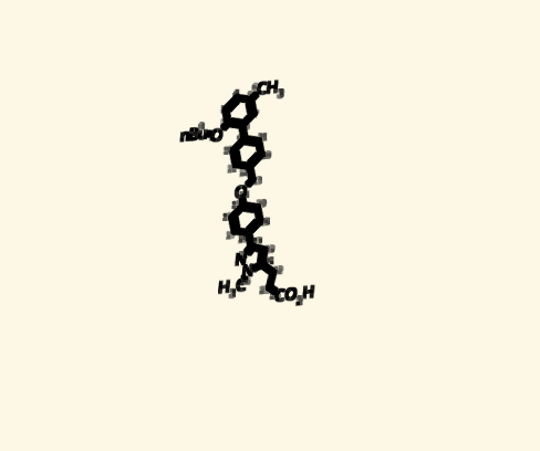 CCCCOc1ccc(C)cc1-c1ccc(COc2ccc(-c3cc(CCC(=O)O)n(C)n3)cc2)cc1